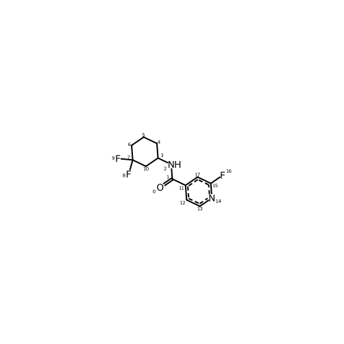 O=C(NC1CCCC(F)(F)C1)c1ccnc(F)c1